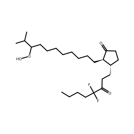 CCCCC(F)(F)C(=O)CC[C@H]1CCC(=O)[C@@H]1CCCCCCCCC(OO)C(C)C